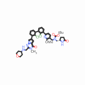 COc1nc(-c2cccc(-c3cccc(-c4cc5c(=O)n(C)c(CNC6CCOCC6)nn5c4)c3Cl)c2Cl)ccc1CN(C[C@@H]1CCC(=O)N1)C(=O)OC(C)(C)C